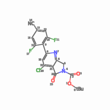 CC(C)(C)OC(=O)N1Cc2nc(-c3c(F)cc(C#N)cc3F)cc(Cl)c2C1=O